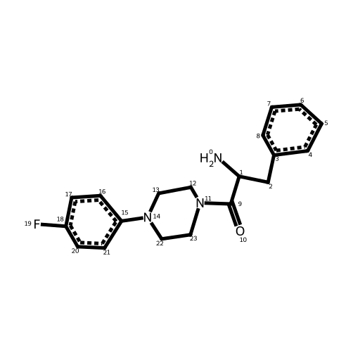 NC(Cc1ccccc1)C(=O)N1CCN(c2ccc(F)cc2)CC1